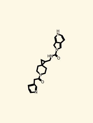 O=C(NCC1CC12CCN(C(=O)Cc1cccnc1)CC2)N1C=C2C=CNC=C2C1